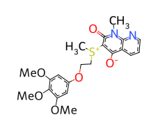 COc1cc(OCC[S+](C)c2c([O-])c3cccnc3n(C)c2=O)cc(OC)c1OC